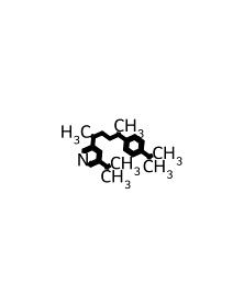 CC(C)c1ccc(C(C)CCC(C)c2cncc(C(C)C)c2)cc1